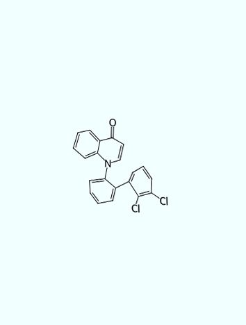 O=c1ccn(-c2ccccc2-c2cccc(Cl)c2Cl)c2ccccc12